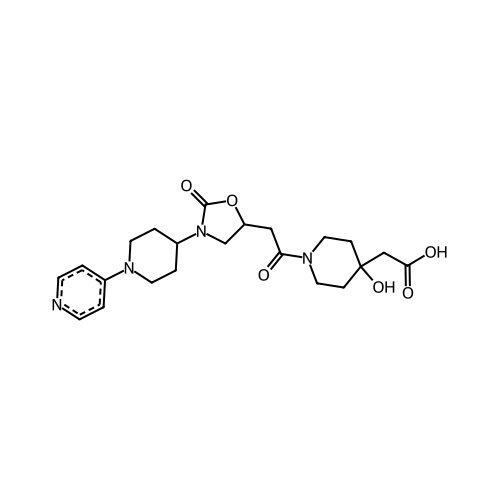 O=C(O)CC1(O)CCN(C(=O)CC2CN(C3CCN(c4ccncc4)CC3)C(=O)O2)CC1